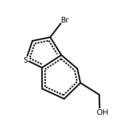 OCc1ccc2scc(Br)c2c1